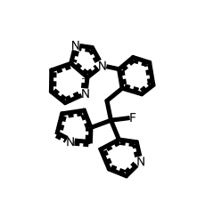 FC(Cc1ccccc1-n1cnc2cccnc21)(c1cccnc1)c1cccnc1